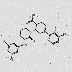 NC(=O)C1CCN(c2ncnc(N)c2F)C[C@@H]1N1CCC[C@@H](Nc2cc(F)cc(Cl)c2)C1=O